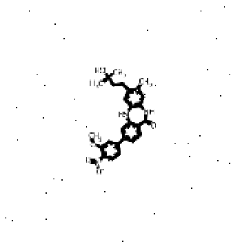 COc1cc(-c2ccc3c(c2)Nc2cc(CCC(C)(C)O)c(C)cc2NC3=O)ccc1[N+](=O)[O-]